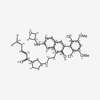 COc1cc(OC)c(Cl)c(-c2cc3cnc(NC4COC4)nc3n(CCOC3CCN(C(=O)/C=C/CN(C)C)C3)c2=O)c1Cl